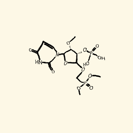 CO[C@H]1C(n2ccc(=O)[nH]c2=O)OC(OCP(=O)(OC)OC)[C@H]1OP(=O)(O)O